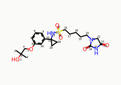 CC(C)(O)COc1cccc(C2(NS(=O)(=O)CCCCCN3CC(=O)NC3=O)CC2)c1